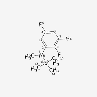 C[As](c1cc(F)cc(F)c1F)[Si](C)(C)C